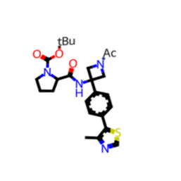 CC(=O)N1CC(NC(=O)C2CCCN2C(=O)OC(C)(C)C)(c2ccc(-c3scnc3C)cc2)C1